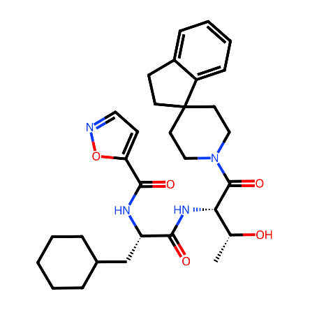 C[C@@H](O)[C@H](NC(=O)[C@H](CC1CCCCC1)NC(=O)c1ccno1)C(=O)N1CCC2(CCc3ccccc32)CC1